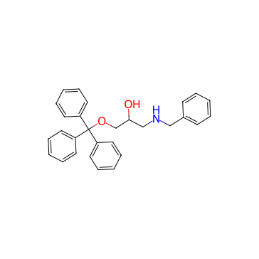 OC(CNCc1ccccc1)COC(c1ccccc1)(c1ccccc1)c1ccccc1